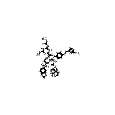 Cc1nc(COc2ccc(C[C@H](NC(=O)O[C@H]3CO[C@H]4OCC[C@H]43)[C@@H](CN(CC(C)C)S(=O)(=O)c3ccc4c(c3)OCO4)OC(=O)CN/C(=N/C(=O)OC(C)(C)C)NC(=O)OC(C)(C)C)cc2)cs1